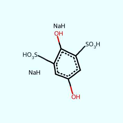 O=S(=O)(O)c1cc(O)cc(S(=O)(=O)O)c1O.[NaH].[NaH]